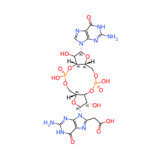 Nc1nc2c(ncn2[C@@H]2O[C@@H]3COP(=O)(O)OC4[C@@H](COP(=O)(O)O[C@@H]3C2O)O[C@@H](n2c(CC(=O)O)nc3c(=O)[nH]c(N)nc32)[C@H]4O)c(=O)[nH]1